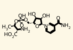 C[C@@H](OP(=O)(O)OC[C@H]1O[C@@H]([n+]2cccc(C(N)=O)c2)[C@H](O)[C@@H]1O)[C@H](N)C(=O)O